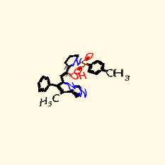 CC1=C(c2ccccc2)C(C[C@@H](O)[C@H]2CCCN2S(=O)(=O)c2ccc(C)cc2)n2cncc21